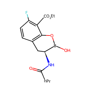 CCCC(=O)N[C@H]1Cc2ccc(F)c(C(=O)OCC)c2OB1O